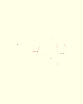 CCCc1cccc(O[C@@H](CNC(=O)O[C@H](OC(C)=O)C(C)C)C(=O)O)c1